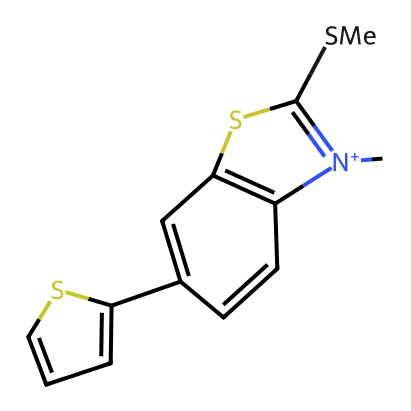 CSc1sc2cc(-c3cccs3)ccc2[n+]1C